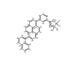 CC1(C)OB(c2cccc(-c3ccc4ccc5c(-c6cccc7ccccc67)ccc6ccc3c4c65)c2)OC1(C)C